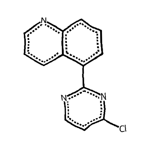 Clc1ccnc(-c2cccc3ncccc23)n1